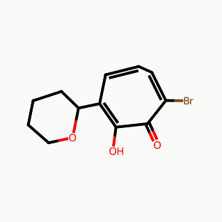 O=c1c(Br)cccc(C2CCCCO2)c1O